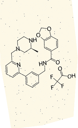 C[C@H]1CN(Cc2cccc(-c3cccc(CNC(=O)c4ccc5c(c4)OCO5)c3)n2)CCN1.O=C(O)C(F)(F)F